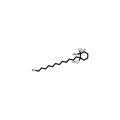 CCCCC1(C(=O)O)CCCCC1(CCCCCCCCCCCCC(C)C)C(=O)O